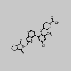 Cc1cc(Cl)cc(-c2ccnc3cc(CN4C(=O)C5CCCC5C4=O)sc23)c1OC1CCN(C(=O)O)CC1